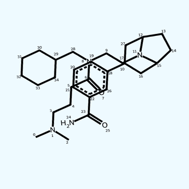 CN(C)CCCC(=O)N(CCN1C2CCC1CC(c1cccc(C(N)=O)c1)C2)CC1CCCCC1